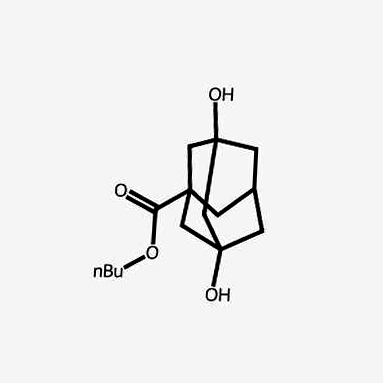 CCCCOC(=O)C12CC3CC(O)(CC(O)(C3)C1)C2